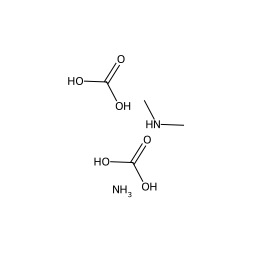 CNC.N.O=C(O)O.O=C(O)O